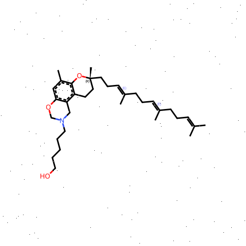 CC(C)=CCC/C(C)=C/CC/C(C)=C/CC[C@]1(C)CCc2c3c(cc(C)c2O1)OCN(CCCCCO)C3